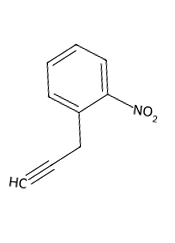 C#CCc1ccccc1[N+](=O)[O-]